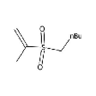 C=C(C)S(=O)(=O)CCCCC